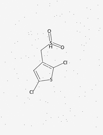 O=[SH](=O)Cc1cc(Cl)sc1Cl